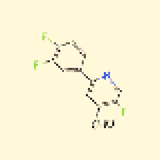 O=Cc1cc(-c2ccc(F)c(F)c2)ncc1F